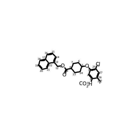 O=C(O)c1cc(OC2CCC(C(=O)OCc3cccc4ccccc34)CC2)c(Cl)cc1F